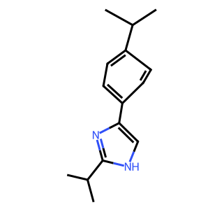 CC(C)c1ccc(-c2c[nH]c(C(C)C)n2)cc1